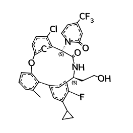 Cc1cccc2c1-c1cc(C3CC3)c(F)c(c1)[C@H](CCO)NC(=O)[C@@H](n1ccc(C(F)(F)F)cc1=O)c1cc(ccc1Cl)O2